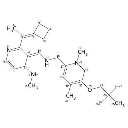 CNC1C=CN=C(C(C)=C2CCC2)/C1=C/NCC1=CC(C)=C(OCC(C)(F)F)CN1C